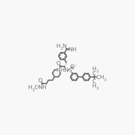 CNC(=O)CCCC1CCN(C(=O)[C@H](Cc2cccc(C(=N)N)c2)N[S+]([O-])c2cccc(-c3ccc(C(C)(C)C)cc3)c2)CC1